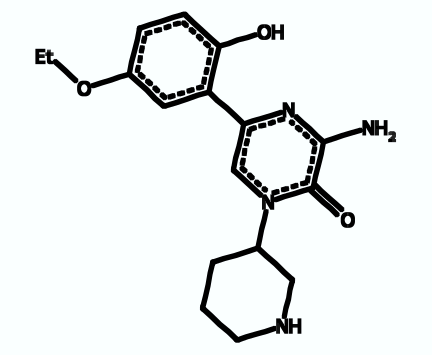 CCOc1ccc(O)c(-c2cn(C3CCCNC3)c(=O)c(N)n2)c1